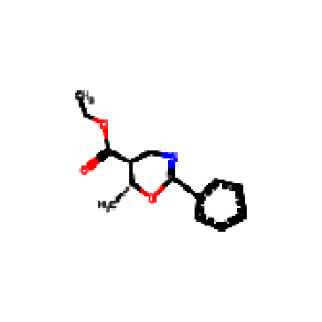 CCOC(=O)[C@H]1CN=C(c2ccccc2)O[C@@H]1C